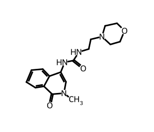 Cn1cc(NC(=O)NCCN2CCOCC2)c2ccccc2c1=O